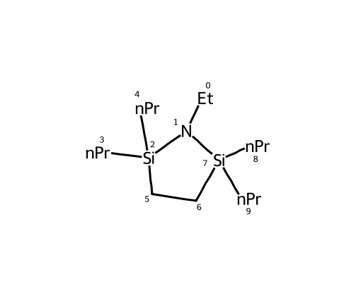 [CH2]CN1[Si](CCC)(CCC)CC[Si]1(CCC)CCC